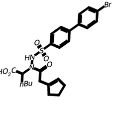 CCCCC(C(=O)O)N(NS(=O)(=O)c1ccc(-c2ccc(Br)cc2)cc1)C(=O)CC1=CCCC1